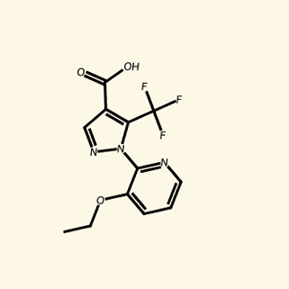 CCOc1cccnc1-n1ncc(C(=O)O)c1C(F)(F)F